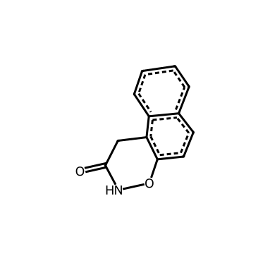 O=C1Cc2c(ccc3ccccc23)ON1